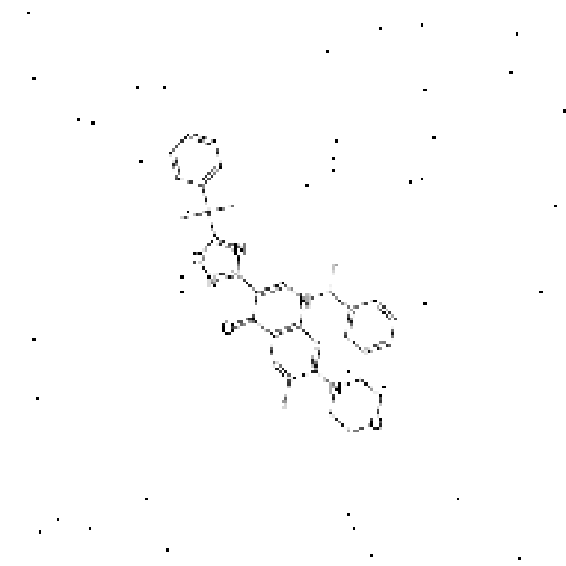 C[C@H](c1ccccc1)n1cc(-c2noc(C(C)(C)c3ccccc3)n2)c(=O)c2cc(F)c(N3CCOCC3)cc21